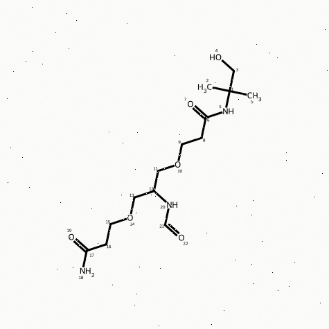 CC(C)(CO)NC(=O)CCOCC(COCCC(N)=O)NC=O